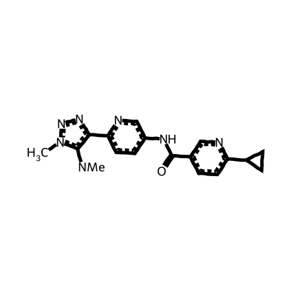 CNc1c(-c2ccc(NC(=O)c3ccc(C4CC4)nc3)cn2)nnn1C